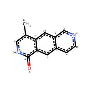 Cc1c[nH]c(=O)c2cc3ccncc3cc12